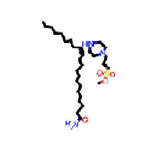 CCCCCCCC/C=C\CCCCCCCCCCCC(N)=O.COS(=O)(=O)CCCN1CCNCC1